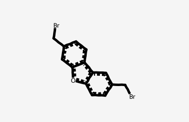 BrCc1ccc2c(c1)oc1ccc(CBr)cc12